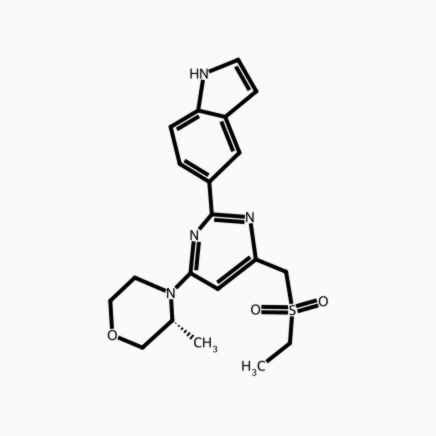 CCS(=O)(=O)Cc1cc(N2CCOC[C@H]2C)nc(-c2ccc3[nH]ccc3c2)n1